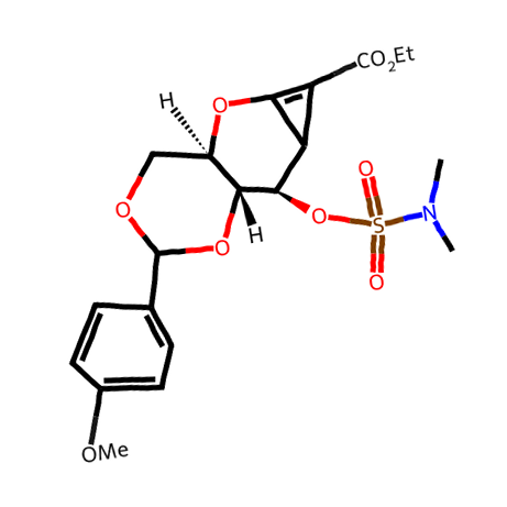 CCOC(=O)C1=C2O[C@@H]3COC(c4ccc(OC)cc4)O[C@H]3[C@H](OS(=O)(=O)N(C)C)C21